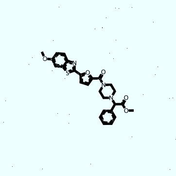 COC(=O)C(c1ccccc1)N1CCN(C(=O)c2ccc(-c3nc4ccc(OC)cc4s3)o2)CC1